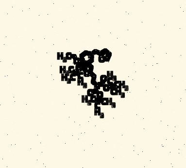 CCOP1(=O)CCN(Cc2ccco2)CC1(CCCCN(C(=O)OC(C)(C)C)C(=O)OC(C)(C)C)C(=O)OC(C)(C)C